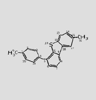 Cc1ccc(-c2cccc3c2sc2ccc(C)cc23)cc1